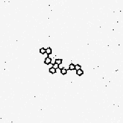 c1cc(-c2cccc3ccccc23)cc(-c2c3ccccc3c(-c3cccc(-c4ccc5ccc6ccccc6c5c4)n3)c3ccccc23)c1